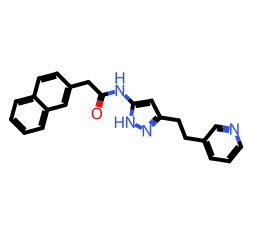 O=C(Cc1ccc2ccccc2c1)Nc1cc(CCc2cccnc2)n[nH]1